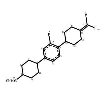 CCCCCC1CCC(c2ccc(C3CCC(=C(F)F)CC3)c(F)c2)CC1